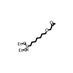 CCO[SiH](CCCCCCCOCC1CO1)OCC